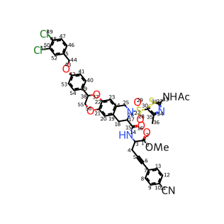 COC(=O)C(CC#Cc1ccc(C#N)cc1)NC(=O)C1Cc2cc3c(cc2CN1S(=O)(=O)c1sc(NC(C)=O)nc1C)OC(c1ccc(OCc2ccc(Cl)c(Cl)c2)cc1)CO3